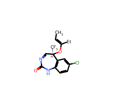 CC=C(CC)O[C@]1(C(F)(F)F)C=NC(=O)Nc2ccc(Cl)cc21